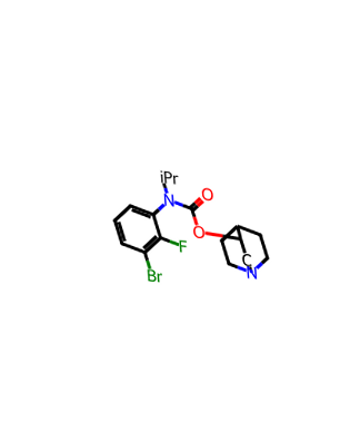 CC(C)N(C(=O)OC1CN2CCC1CC2)c1cccc(Br)c1F